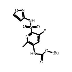 Cc1nc(S(=O)(=O)Nc2ccon2)c(F)cc1NC(=O)OC(C)(C)C